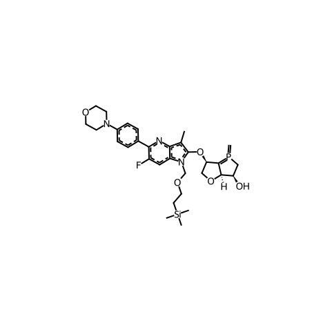 C=P1=C2[C@H](Oc3c(C)c4nc(-c5ccc(N6CCOCC6)cc5)c(F)cc4n3COCC[Si](C)(C)C)CO[C@@H]2[C@H](O)C1